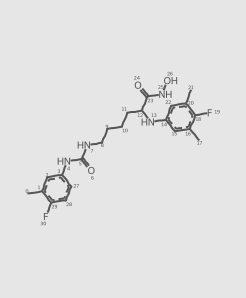 Cc1cc(NC(=O)NCCCCC(Nc2cc(C)c(F)c(C)c2)C(=O)NO)ccc1F